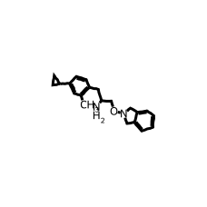 Cc1cc(C2CC2)ccc1CC(N)CON1Cc2ccccc2C1